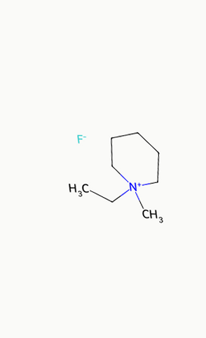 CC[N+]1(C)CCCCC1.[F-]